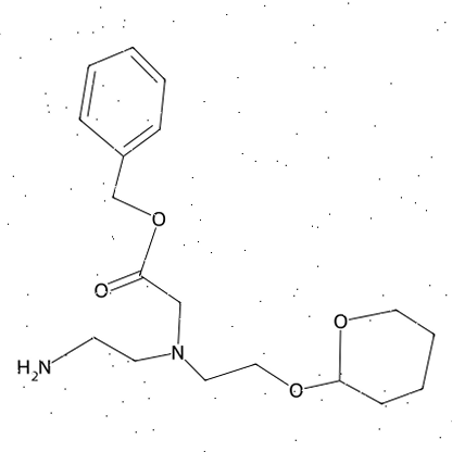 NCCN(CCOC1CCCCO1)CC(=O)OCc1ccccc1